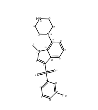 Cn1cc(S(=O)(=O)c2cccc(F)c2)c2cccc(N3CCNCC3)c21